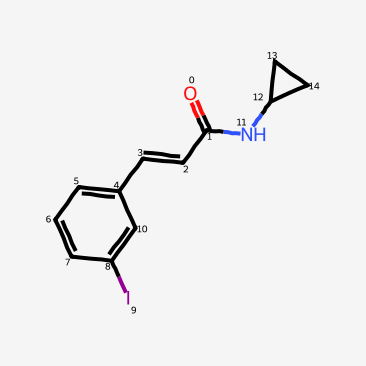 O=C(/C=C/c1cccc(I)c1)NC1CC1